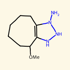 COC1CCCCCC2=C1NNN2N